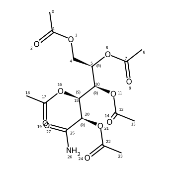 CC(=O)OC[C@@H](OC(C)=O)[C@@H](OC(C)=O)[C@H](OC(C)=O)[C@@H](OC(C)=O)C(N)=O